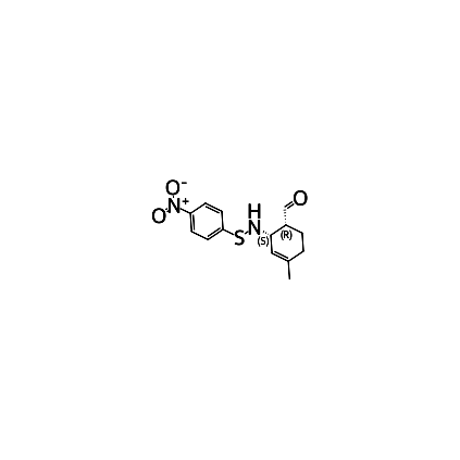 CC1=C[C@H](NSc2ccc([N+](=O)[O-])cc2)[C@H](C=O)CC1